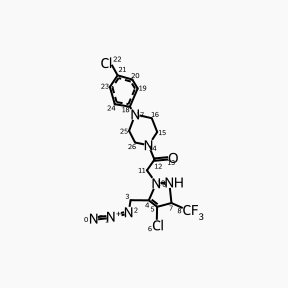 [N-]=[N+]=NCC1=C(Cl)C(C(F)(F)F)NN1CC(=O)N1CCN(c2ccc(Cl)cc2)CC1